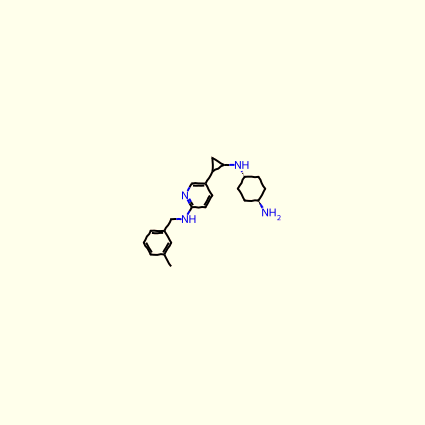 Cc1cccc(CNc2ccc(C3CC3N[C@H]3CC[C@H](N)CC3)cn2)c1